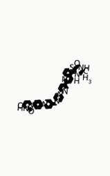 C[C@@H]1CNc2c(sc3ccc4nc(-c5ccc(N6CCN(CC7CCN(c8ccc(N9CCC(=O)NC9=O)cc8)CC7)CC6)nc5)ccc4c23)C(=O)N1